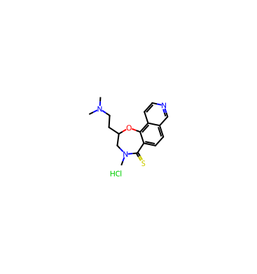 CN(C)CCC1CN(C)C(=S)c2ccc3cnccc3c2O1.Cl